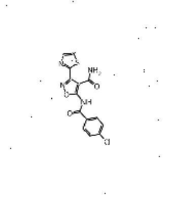 NC(=O)c1c(-c2nccs2)noc1NC(=O)c1ccc(Cl)cc1